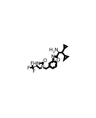 N[C@@H](c1nc2cc(CN3C[C@@H](C(F)(F)F)NC3=O)ccc2o1)C(C1CC1)C1CC1